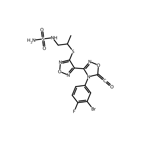 CC(CNS(N)(=O)=O)Sc1nonc1C1=NOC(=C=O)N1c1ccc(F)c(Br)c1